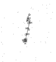 O=C(CCCCCNC(=O)CCCC[C@@H]1SC[C@@H]2NC(=O)N[C@@H]21)NCCCCCC(=O)Nc1ccc2c(Cl)c(OCCc3ccccc3)oc(=O)c2c1